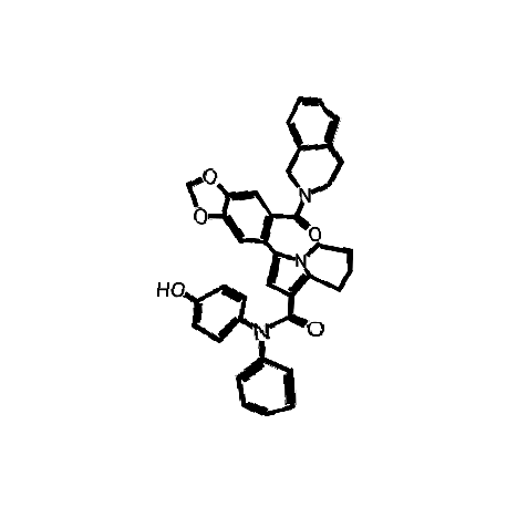 O=C(c1cc2c(cc1-c1cc(C(=O)N(c3ccccc3)c3ccc(O)cc3)c3n1CCCC3)OCO2)N1CCc2ccccc2C1